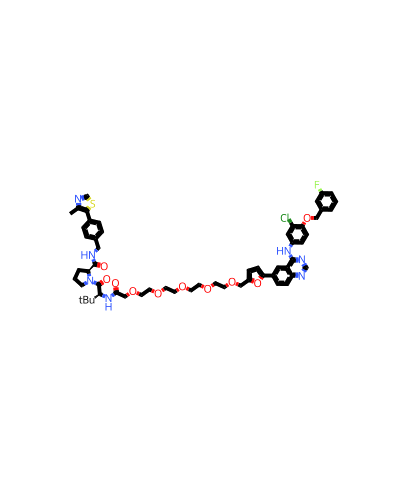 Cc1ncsc1-c1ccc(CNC(=O)[C@@H]2CCCN2C(=O)[C@@H](NC(=O)COCCOCCOCCOCCOCc2ccc(-c3ccc4ncnc(Nc5ccc(OCc6cccc(F)c6)c(Cl)c5)c4c3)o2)C(C)(C)C)cc1